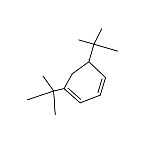 CC(C)(C)[C]1C=CC=C(C(C)(C)C)C1